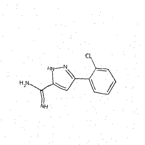 N=C(N)c1cc(-c2ccccc2Cl)n[nH]1